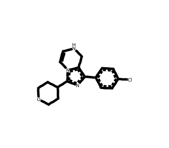 Clc1ccc(-c2nc(C3CCOCC3)n3c2CNC=C3)cc1